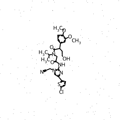 COc1ccc(C(CCO)C(=O)N(CC(=O)Nc2nc(-c3ccc(Cl)s3)cn2CC#N)C(C)C)cc1OC